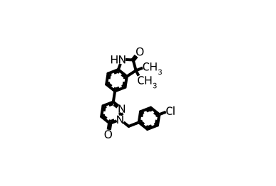 CC1(C)C(=O)Nc2ccc(-c3ccc(=O)n(Cc4ccc(Cl)cc4)n3)cc21